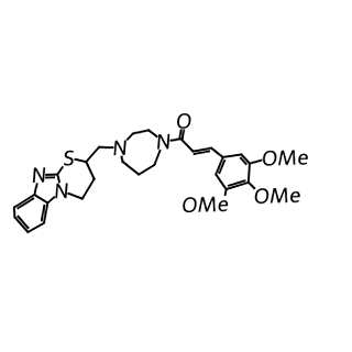 COc1cc(/C=C/C(=O)N2CCCN(CC3CCn4c(nc5ccccc54)S3)CC2)cc(OC)c1OC